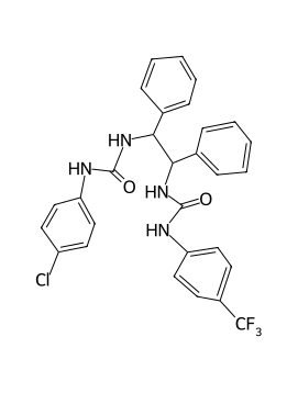 O=C(Nc1ccc(Cl)cc1)NC(c1ccccc1)C(NC(=O)Nc1ccc(C(F)(F)F)cc1)c1ccccc1